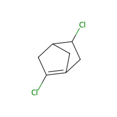 ClC1=C2CC(Cl)C(C1)C2